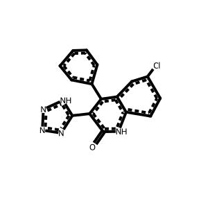 O=c1[nH]c2ccc(Cl)cc2c(-c2ccccc2)c1-c1nnn[nH]1